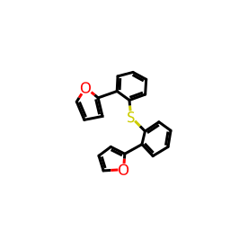 c1coc(-c2ccccc2Sc2ccccc2-c2ccco2)c1